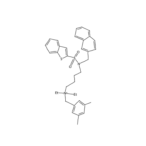 CC[N+](CC)(CCCCN(Cc1ccc2ccccc2c1)S(=O)(=O)c1cc2ccccc2s1)Cc1cc(C)cc(C)c1